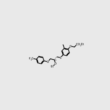 CCOC(=O)COc1ccc(SC[C@@H](COc2ccc(C(F)(F)F)cc2)OCC)cc1C